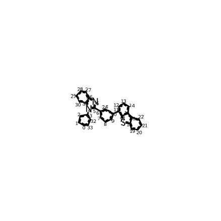 c1ccc(-n2c(-c3cccc(-c4cccc5c4sc4ccccc45)c3)nc3ccccc32)cc1